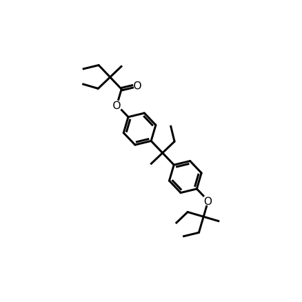 CCC(C)(CC)Oc1ccc(C(C)(CC)c2ccc(OC(=O)C(C)(CC)CC)cc2)cc1